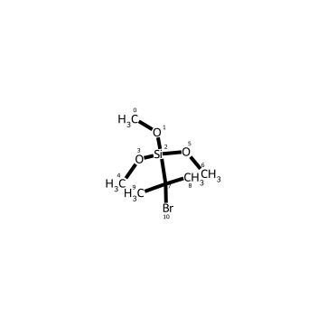 CO[Si](OC)(OC)C(C)(C)Br